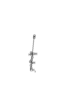 CCOCCOCCNC(=O)COCCOCCNC(O)C(=O)CCCCCCCCCCCCCCCCOC=O